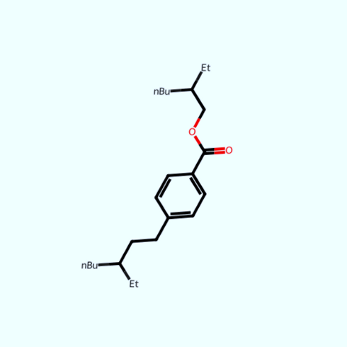 CCCCC(CC)CCc1ccc(C(=O)OCC(CC)CCCC)cc1